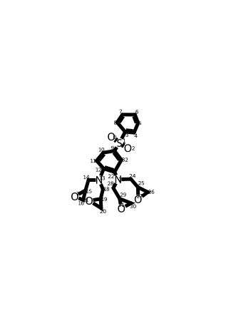 O=S(=O)(c1ccccc1)c1ccc(N(CC2CO2)CC2CO2)c(N(CC2CO2)CC2CO2)c1